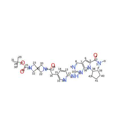 CN(C)C(=O)c1cc2cnc(Nc3ccc(CC(=O)N4CC5(C4)CN(C(=O)OC(C)(C)C)C5)cn3)nc2n1C1CCCC1